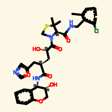 Cc1cccc(Cl)c1CNC(=O)[C@H]1N(C(=O)[C@@H](O)C[C@@H](Cc2cnco2)C(=O)N[C@H]2c3ccccc3OC[C@H]2O)CSC1(C)C